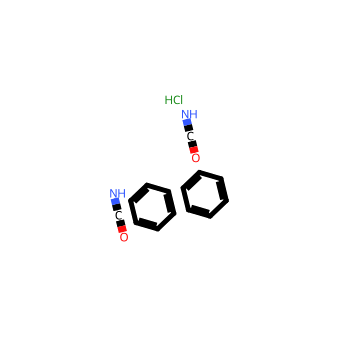 Cl.N=C=O.N=C=O.c1ccccc1.c1ccccc1